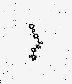 O=C(CCc1ccc(COc2ccccc2)cc1)c1ncc(-c2cccc(-c3nnn[nH]3)n2)o1